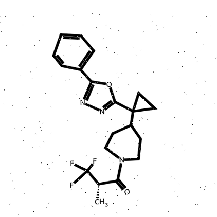 C[C@@H](C(=O)N1CCC(C2(c3nnc(-c4ccccc4)o3)CC2)CC1)C(F)(F)F